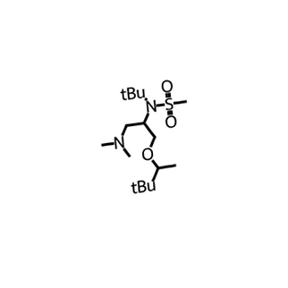 CC(OCC(CN(C)C)N(C(C)(C)C)S(C)(=O)=O)C(C)(C)C